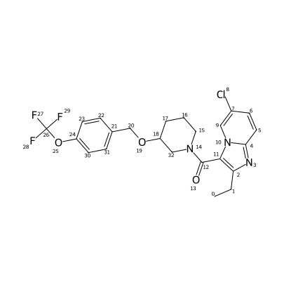 CCc1nc2ccc(Cl)cn2c1C(=O)N1CCCC(OCc2ccc(OC(F)(F)F)cc2)C1